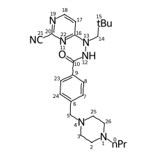 CCCN1CCN(Cc2ccc(C(=O)NN(CC(C)(C)C)c3ccnc(C#N)n3)cc2)CC1